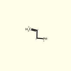 C=CC[PH]